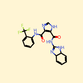 O=C(Nc1ccccc1C(F)(F)F)c1nc[nH]c1C(=O)NC1=NC2C=CC=CC2N1